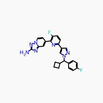 Nc1nc2cc(-c3nc(-c4cnn(C(c5ccc(F)cc5)C5CCC5)c4)ccc3F)ccn2n1